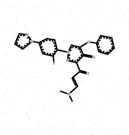 CN(C)/C=C/C(=O)c1nn(-c2ccc(-n3cccn3)cc2F)cc(Oc2ccccc2)c1=O